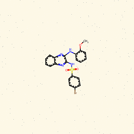 COc1ccccc1Nc1nc2ccccc2nc1NS(=O)(=O)c1ccc(Br)cc1